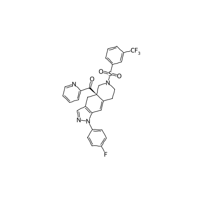 O=C(c1ccccn1)[C@]12Cc3cnn(-c4ccc(F)cc4)c3C=C1CCN(S(=O)(=O)c1cccc(C(F)(F)F)c1)C2